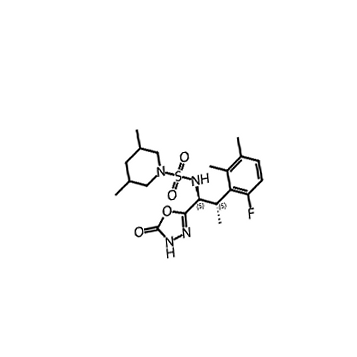 Cc1ccc(F)c([C@H](C)[C@H](NS(=O)(=O)N2CC(C)CC(C)C2)c2n[nH]c(=O)o2)c1C